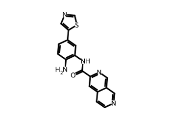 Nc1ccc(-c2cncs2)cc1NC(=O)c1cc2ccncc2cn1